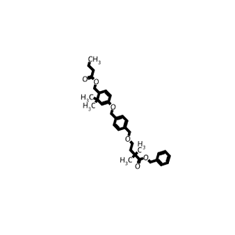 CCCC(=O)OCC1C=CC(OCc2ccc(COCCC(C)(C)C(=O)OCc3ccccc3)cc2)=CC1(C)C